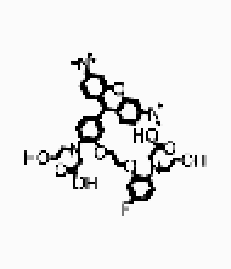 CN(C)c1ccc2c(-c3ccc(N(CCO)CC(=O)O)c(OCCOc4cc(F)ccc4N(CCO)CC(=O)O)c3)c3ccc(=[N+](C)C)cc-3oc2c1